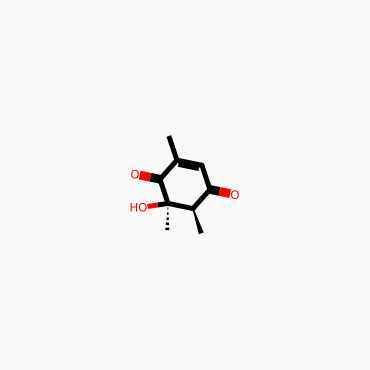 CC1=CC(=O)[C@@H](C)[C@@](C)(O)C1=O